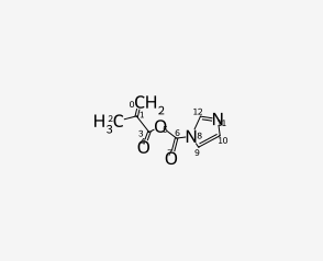 C=C(C)C(=O)OC(=O)n1ccnc1